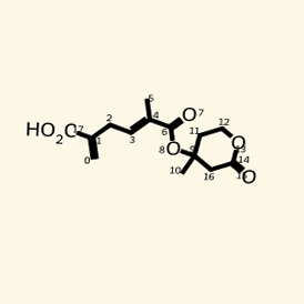 C=C(CC=C(C)C(=O)OC1(C)CCOC(=O)C1)C(=O)O